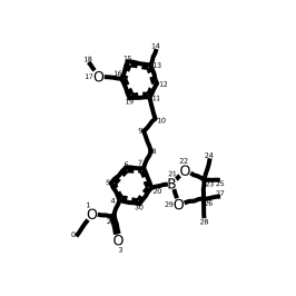 COC(=O)c1ccc(CCCc2cc(C)cc(OC)c2)c(B2OC(C)(C)C(C)(C)O2)c1